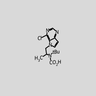 CC(Cn1ccc2ncnc(Cl)c21)N(C(=O)O)C(C)(C)C